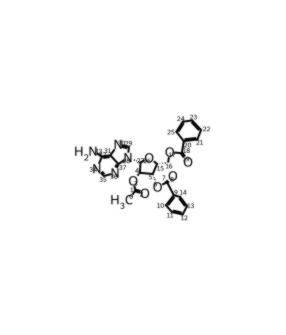 CC(=O)O[C@@H]1[C@@H](OC(=O)c2ccccc2)[C@@H](COC(=O)c2ccccc2)O[C@H]1n1cnc2c(N)ncnc21